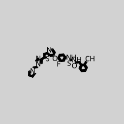 C#Cc1ccccc1CC(=O)NC(=S)Nc1ccc(Oc2ccnc3c2SC(c2cn(CCN4CCCC4)cn2)C3)c(F)c1